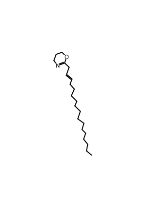 CCCCCCCCCCCCCCC=CCC1=NCCCO1